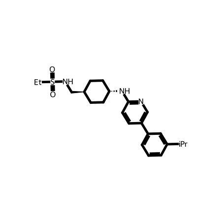 CCS(=O)(=O)NC[C@H]1CC[C@H](Nc2ccc(-c3cccc(C(C)C)c3)cn2)CC1